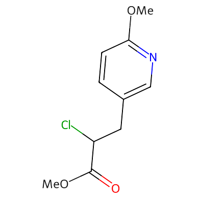 COC(=O)C(Cl)Cc1ccc(OC)nc1